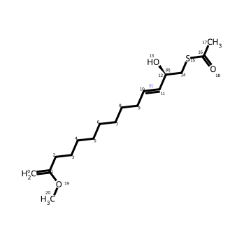 C=C(CCCCCCCC/C=C/[C@@H](O)CSC(C)=O)OC